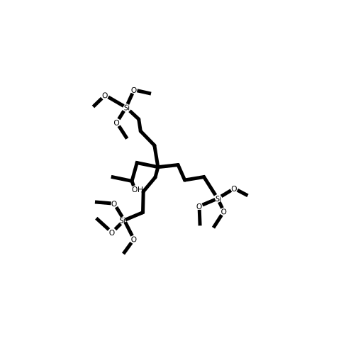 CO[Si](CCCC(CCC[Si](OC)(OC)OC)(CCC[Si](OC)(OC)OC)CC(C)O)(OC)OC